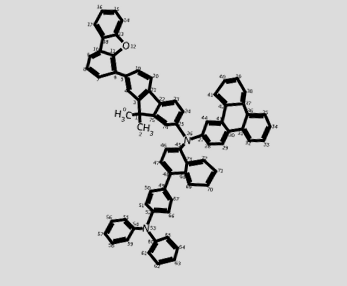 CC1(C)c2cc(-c3cccc4c3oc3ccccc34)ccc2-c2ccc(N(c3ccc4c5ccccc5c5ccccc5c4c3)c3ccc(-c4ccc(N(c5ccccc5)c5ccccc5)cc4)c4ccccc34)cc21